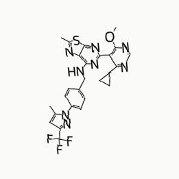 COc1ncnc(C2CC2)c1-c1nc(NCc2ccc(-n3nc(C(F)(F)F)cc3C)cc2)c2nc(C)sc2n1